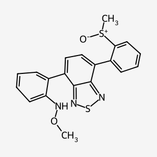 CONc1ccccc1-c1ccc(-c2ccccc2[S+](C)[O-])c2nsnc12